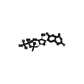 CCC(C)(C[C@H]1O[C@@H](c2cc3nc(F)c[nH]c-3nc2=O)[C@@H](O)C1O)OP(=O)(O)C(O)(CC)CC